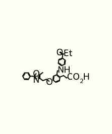 CCC(=O)c1ccc(NCc2cc(OCCc3nc(-c4ccccc4)oc3C)ccc2CCC(=O)O)cc1